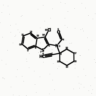 C#CC1(N(C=O)c2sc3ccccc3c2Cl)CCCCC1